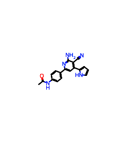 CC(=O)Nc1ccc(-c2cc(-c3ccc[nH]3)c(C#N)c(N)n2)cc1